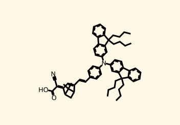 CCCCC1(CCCC)c2ccccc2-c2ccc(N(c3ccc(/C=C/C4=CC(=C(\C#N)C(=O)O)/C5CC4C5(C)C)cc3)c3ccc4c(c3)C(CCCC)(CCCC)c3ccccc3-4)cc21